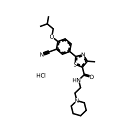 Cc1nc(-c2ccc(OCC(C)C)c(C#N)c2)sc1C(=O)NCCN1CCCCC1.Cl